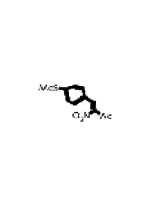 CSc1ccc(C=C(C(C)=O)[N+](=O)[O-])cc1